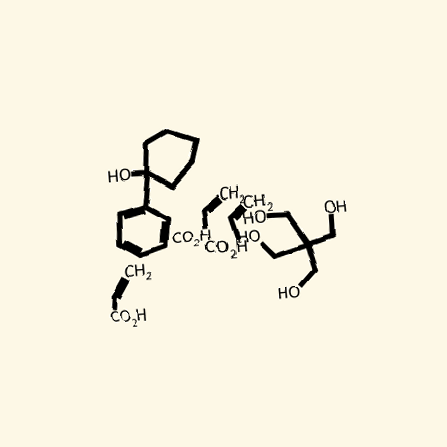 C=CC(=O)O.C=CC(=O)O.C=CC(=O)O.OC1(c2ccccc2)CCCCC1.OCC(CO)(CO)CO